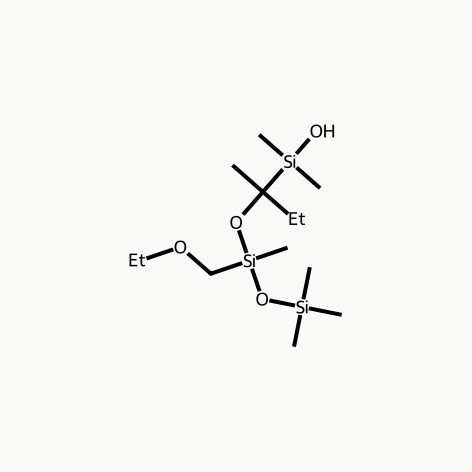 CCOC[Si](C)(OC(C)(CC)[Si](C)(C)O)O[Si](C)(C)C